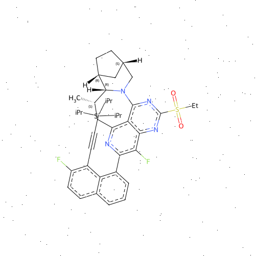 CCS(=O)(=O)c1nc2c3c(nc(-c4cccc5ccc(F)c(C#C[Si](C(C)C)(C(C)C)C(C)C)c45)c(F)c3n1)C[C@H](C)[C@@H]1[C@@H]3CC[C@@H](C3)CN21